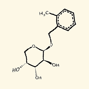 Cc1ccccc1CO[C@@H]1OC[C@@H](O)[C@@H](O)[C@@H]1O